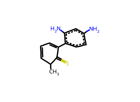 CC1C=CC=C(c2ccc(N)cc2N)C1=S